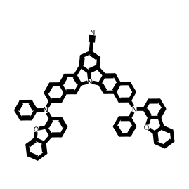 N#Cc1cc2c3cc4c(cc3n3c5cc6cc(N(c7ccccc7)c7cccc8c7oc7ccccc78)ccc6cc5c(c1)c23)C=C(N(c1ccccc1)c1cccc2c1oc1ccccc12)CC4